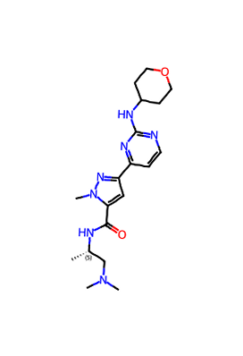 C[C@@H](CN(C)C)NC(=O)c1cc(-c2ccnc(NC3CCOCC3)n2)nn1C